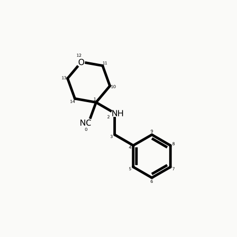 N#CC1(NCc2ccccc2)CCOCC1